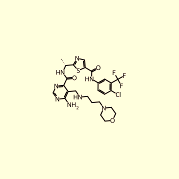 C[C@@H](NC(=O)c1ncnc(N)c1CNCCCN1CCOCC1)c1ncc(C(=O)Nc2ccc(Cl)c(C(F)(F)F)c2)s1